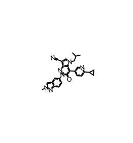 CC(C)Cn1cc(C#N)c2nn(-c3ccc4nn(C)cc4c3)c(=O)c(-c3ccc(C4CC4)nc3)c21